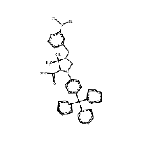 CCN(CC)c1cc(CN2CN(c3ccc(C(c4ccccc4)(c4ccccc4)c4ccccc4)cc3)C(C(=O)C=O)C2(C)C)ccn1